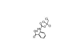 O=C(Nc1ccccc1C(=O)O)OC(Cl)(Cl)CCl